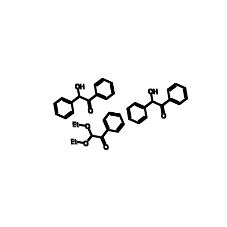 CCOC(OCC)C(=O)c1ccccc1.O=C(c1ccccc1)C(O)c1ccccc1.O=C(c1ccccc1)C(O)c1ccccc1